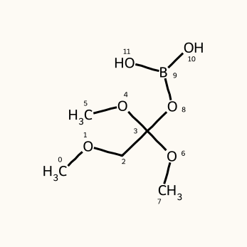 COCC(OC)(OC)OB(O)O